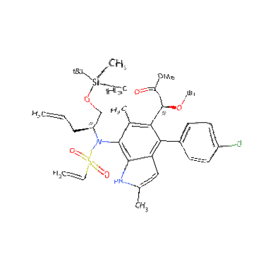 C=CC[C@@H](CO[Si](C)(C)C(C)(C)C)N(c1c(C)c([C@H](OC(C)(C)C)C(=O)OC)c(-c2ccc(Cl)cc2)c2cc(C)[nH]c12)S(=O)(=O)C=C